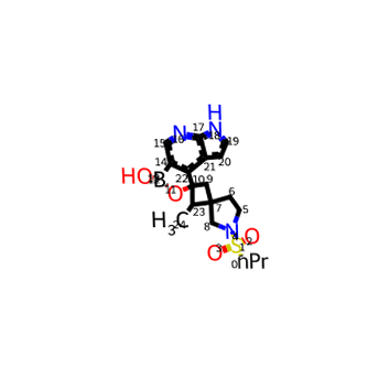 CCCS(=O)(=O)N1CCC2(C1)CC1(OB(O)c3cnc4[nH]ccc4c31)C2C